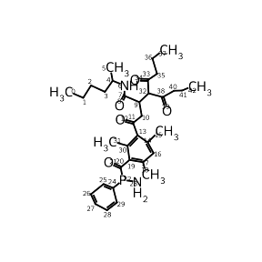 CCCCC(C)NC(=O)C(CC(=O)c1c(C)cc(C)c(C(=O)P(N)c2ccccc2)c1C)C(C(=O)CCC)C(=O)CCC